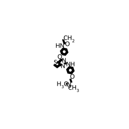 C=CC(=O)Nc1cccc(Oc2nc(Nc3ccc(OCCN(C)C)cc3)nc3ccsc23)c1